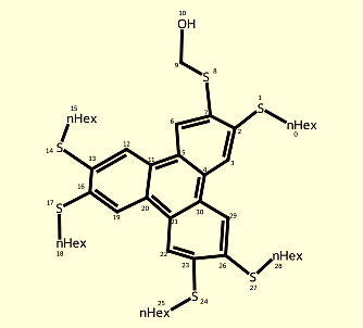 CCCCCCSc1cc2c(cc1SCO)c1cc(SCCCCCC)c(SCCCCCC)cc1c1cc(SCCCCCC)c(SCCCCCC)cc21